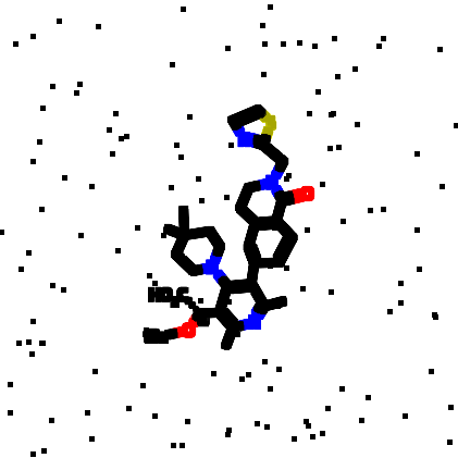 Cc1nc(C)c([C@H](OC(C)(C)C)C(=O)O)c(N2CCC(C)(C)CC2)c1-c1ccc2c(c1)CCN(Cc1nccs1)C2=O